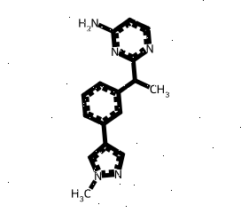 CC(c1cccc(-c2cnn(C)c2)c1)c1nccc(N)n1